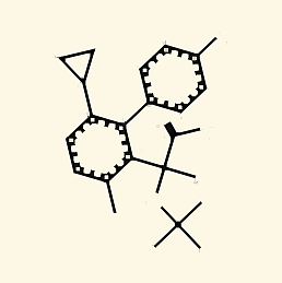 Cc1ccc(C2CC2)c(-c2ccc(Cl)cc2)c1C(C)(OC(C)(C)C)C(=O)O